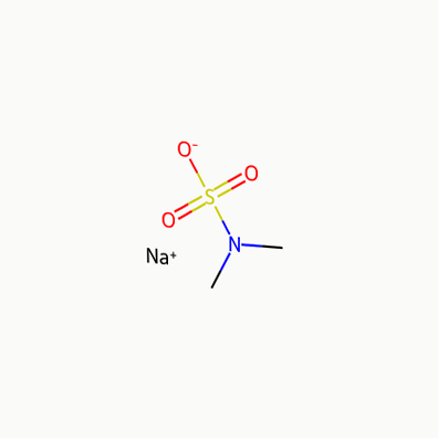 CN(C)S(=O)(=O)[O-].[Na+]